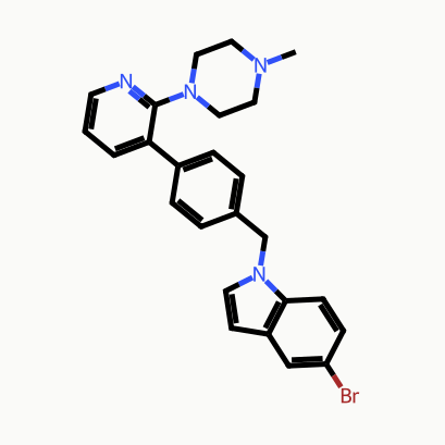 CN1CCN(c2ncccc2-c2ccc(Cn3ccc4cc(Br)ccc43)cc2)CC1